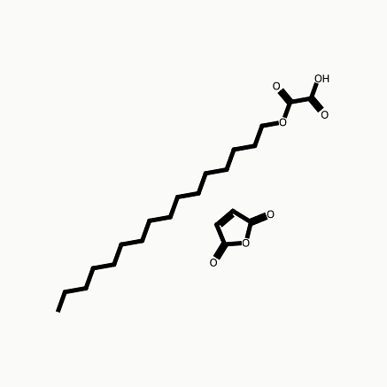 CCCCCCCCCCCCCCCCOC(=O)C(=O)O.O=C1C=CC(=O)O1